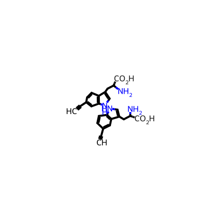 C#Cc1ccc2[nH]cc(CC(N)C(=O)O)c2c1.C#Cc1ccc2c(CC(N)C(=O)O)c[nH]c2c1